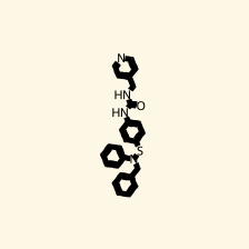 O=C(NCc1ccncc1)Nc1ccc(SN(Cc2ccccc2)c2ccccc2)cc1